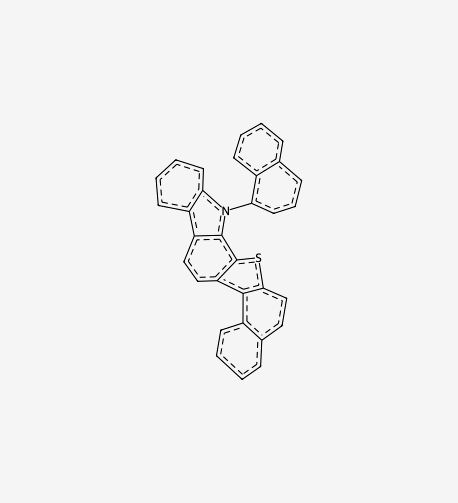 c1ccc2c(-n3c4ccccc4c4ccc5c(sc6ccc7ccccc7c65)c43)cccc2c1